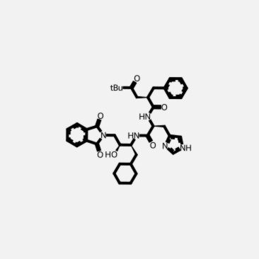 CC(C)(C)C(=O)C[C@@H](Cc1ccccc1)C(=O)N[C@@H](Cc1c[nH]cn1)C(=O)N[C@@H](CC1CCCCC1)[C@@H](O)CN1C(=O)c2ccccc2C1=O